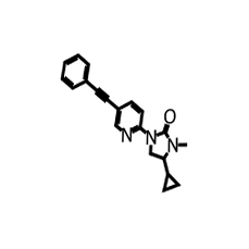 CN1C(=O)N(c2ccc(C#Cc3ccccc3)cn2)CC1C1CC1